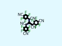 N#CC(=C1C(=C(/C#N)c2c(F)c(F)c(C#N)c(F)c2F)/C1=C(/C#N)c1c(F)c(F)c(C#N)c(F)c1F)C1C(F)C(F)C(C#N)C(F)C1F